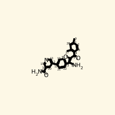 Cc1ccc(C(=O)c2oc3cc(-c4cncc(C(N)=O)c4)ccc3c2N)c(C)c1